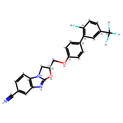 N#Cc1ccc2c(c1)nc1n2C[C@@H](COc2ccc(-c3cc(C(F)(F)F)ccc3F)cc2)O1